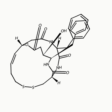 O=C1C[C@H]2/C=C\CCSSC[C@@H](NC(=O)[C@@H](Cc3ccccc3)N1)C(=O)N[C@H](Cc1ccccc1)[C@@H](O)CC(=O)O2